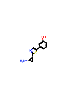 N[C@H]1C[C@@H]1c1ncc(-c2cccc(O)c2)s1